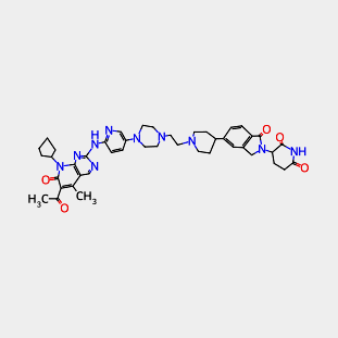 CC(=O)c1c(C)c2cnc(Nc3ccc(N4CCN(CCN5CCC(c6ccc7c(c6)CN(C6CCC(=O)NC6=O)C7=O)CC5)CC4)cn3)nc2n(C2CCCC2)c1=O